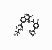 CC(Nc1c(Cl)cnc2ccc(-c3cnc(C(C)(C)O)nc3)cc12)c1cc(-c2nnc[nH]2)ccc1F